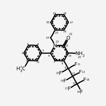 Cc1cccc(-c2cc(C(F)(F)C(F)(F)C(F)(F)F)c(N)c(=O)n2Cc2ccccc2)c1